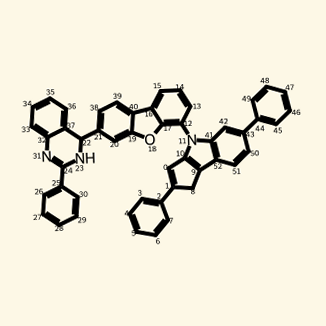 C1=C(c2ccccc2)Cc2c1n(-c1cccc3c1oc1cc(C4NC(c5ccccc5)=Nc5ccccc54)ccc13)c1cc(-c3ccccc3)ccc21